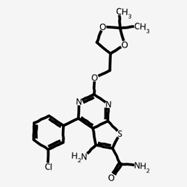 CC1(C)OCC(COc2nc(-c3cccc(Cl)c3)c3c(N)c(C(N)=O)sc3n2)O1